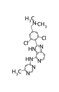 Cc1cc(Nc2nccc3nc(-c4c(Cl)cc(CN(C)C)cc4Cl)[nH]c23)ncn1